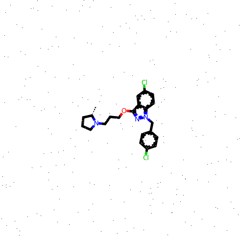 C[C@H]1CCCN1CCCOc1nn(Cc2ccc(Cl)cc2)c2ccc(Cl)cc12